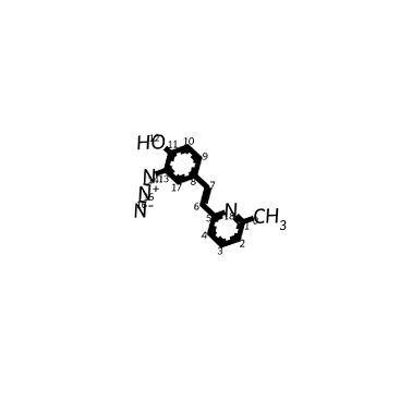 Cc1cccc(C=Cc2ccc(O)c(N=[N+]=[N-])c2)n1